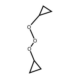 C1CC1OOOC1CC1